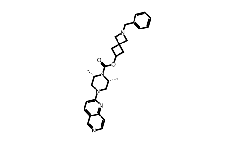 C[C@@H]1CN(c2ccc3cnccc3n2)C[C@H](C)N1C(=O)OC1CC2(C1)CN(Cc1ccccc1)C2